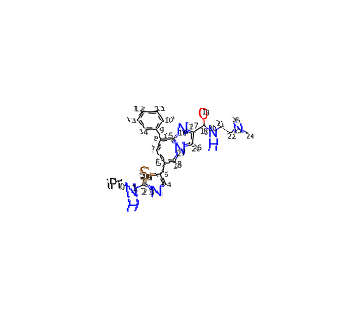 CC(C)Nc1ncc(-c2cc(-c3ccccc3)c3nc(C(=O)NCCN(C)C)cn3c2)s1